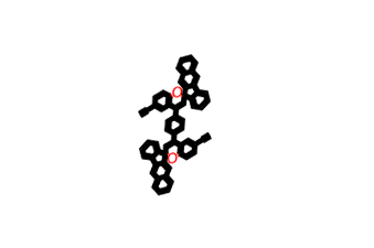 C#Cc1ccc2c(c1)C(c1ccc(C3=CC4(Oc5ccc(C#C)cc53)c3ccccc3-c3cc5ccccc5cc34)cc1)=CC1(O2)c2ccccc2-c2cc3ccccc3cc21